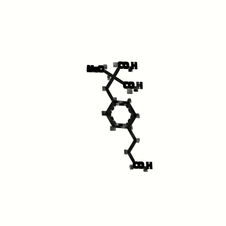 COC(Cc1ccc(CCC(=O)O)cc1)(C(=O)O)C(=O)O